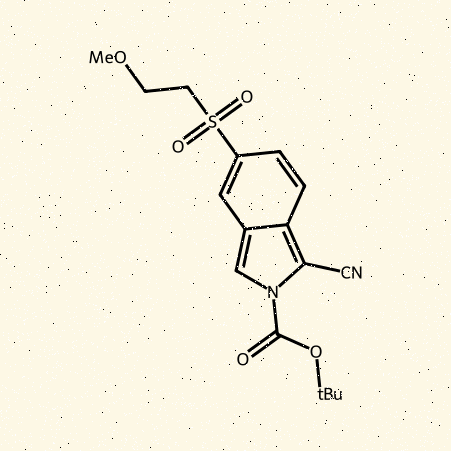 COCCS(=O)(=O)c1ccc2c(C#N)n(C(=O)OC(C)(C)C)cc2c1